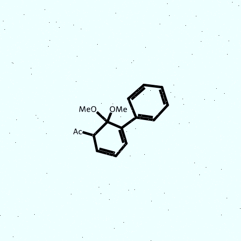 COC1(OC)C(c2ccccc2)=CC=CC1C(C)=O